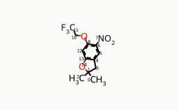 CC1(C)Cc2cc([N+](=O)[O-])c(OCC(F)(F)F)cc2O1